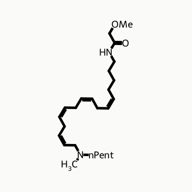 CCCCCN(C)C/C=C\C/C=C\C/C=C\C/C=C\CCCCNC(=O)COC